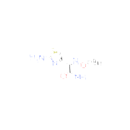 CCCCON=C(C([NH])=O)c1csc(N)n1